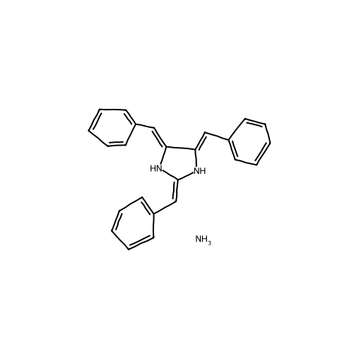 C(=C1NC(=Cc2ccccc2)C(=Cc2ccccc2)N1)c1ccccc1.N